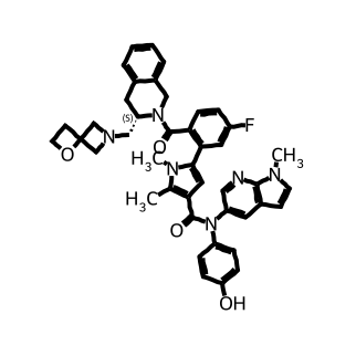 Cc1c(C(=O)N(c2ccc(O)cc2)c2cnc3c(ccn3C)c2)cc(-c2cc(F)ccc2C(=O)N2Cc3ccccc3C[C@H]2CN2CC3(CCO3)C2)n1C